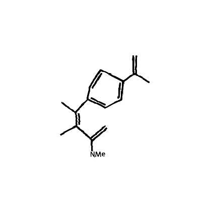 C=C(NC)/C(C)=C(/C)c1ccc(C(=C)C)cc1